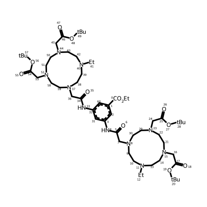 CCOC(=O)c1cc(NC(=O)CN2CCN(CC)CCN(CC(=O)OC(C)(C)C)CCN(CC(=O)OC(C)(C)C)CC2)cc(NC(=O)CN2CCN(CC)CCN(CC(=O)OC(C)(C)C)CCN(CC(=O)OC(C)(C)C)CC2)c1